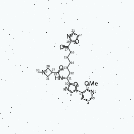 COc1ncccc1-c1cnc(C(CCCCCC(=O)c2ncco2)NC(=O)C2CN(C)C2)o1